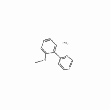 COc1ccccc1-c1ccncn1.N